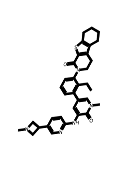 CCc1c(-c2cc(Nc3ccc(C4CN(C)C4)cn3)c(=O)n(C)c2)cccc1N1CCc2c(sc3c2CCCC3)C1=O